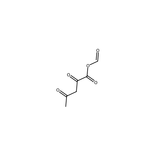 CC(=O)CC(=O)C(=O)OC=O